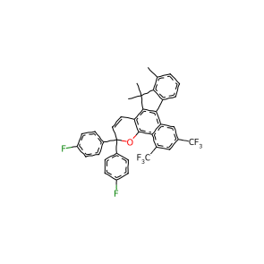 Cc1cccc2c1C(C)(C)c1c3c(c4c(C(F)(F)F)cc(C(F)(F)F)cc4c1-2)OC(c1ccc(F)cc1)(c1ccc(F)cc1)C=C3